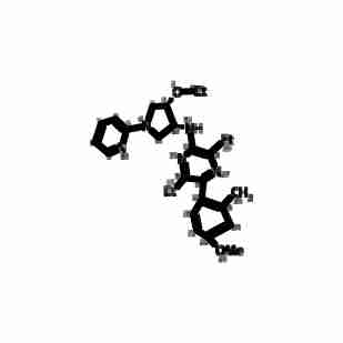 CCO[C@H]1CN(c2ccccn2)C[C@H]1Nc1nc(CC)c(-c2ccc(OC)cc2C)nc1CC